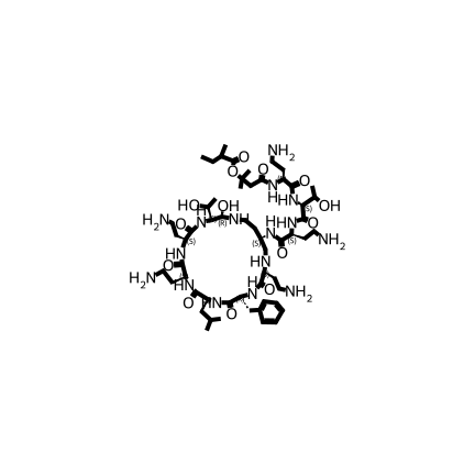 CCC(C)C(=O)OC(C)(C)CC(=O)N[C@@H](CCN)C(=O)N[C@H](C(=O)N[C@@H](CCN)C(=O)N[C@H]1CCN[C@H](O)[C@H](C(C)O)NC(=O)[C@H](CCN)NC(=O)[C@H](CCN)NC(=O)[C@H](CC(C)C)NC(=O)[C@@H](Cc2ccccc2)NC(=O)[C@H](CCN)NC1)C(C)O